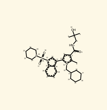 Cc1c(C(=O)NCC(C)(C)O)cc(-c2cn(S(=O)(=O)N3CCCCC3)c3ccccc23)n1CC1CCCCC1